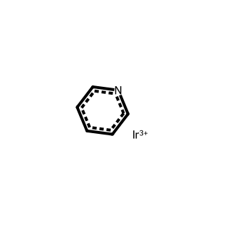 [Ir+3].c1ccncc1